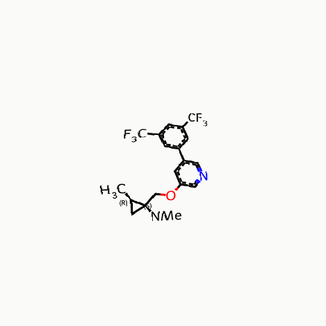 CN[C@@]1(COc2cncc(-c3cc(C(F)(F)F)cc(C(F)(F)F)c3)c2)C[C@H]1C